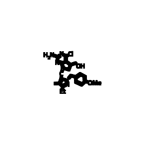 CCc1nn(Cc2ccc(OC)cc2)c(CN2CC(CO)c3c(Cl)nc(N)nc32)c1C